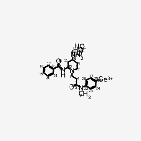 CN(C(=O)CCN1CCC(N)CC1NC(=O)c1ccccc1)c1cc[c]([Ge+3])cc1.[OH-].[OH-].[OH-]